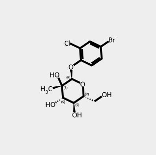 C[C@@]1(O)[C@@H](Oc2ccc(Br)cc2Cl)O[C@H](CO)[C@@H](O)[C@@H]1O